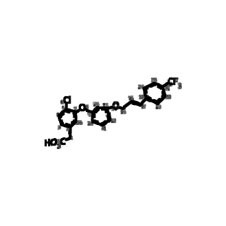 O=C(O)Cc1ccc(Cl)c(Oc2cccc(OCC=Cc3ccc(C(F)(F)F)cc3)c2)c1